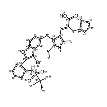 CCc1nc(C)c(C=C(Cc2cccs2)C(=O)O)n1Cc1ccc2oc(-c3ccccc3NS(=O)(=O)C(F)(F)F)c(Br)c2c1